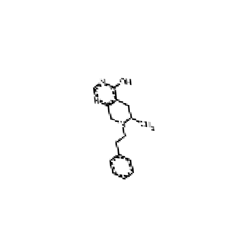 CC1Cc2c(O)ncnc2CN1CCc1ccccc1